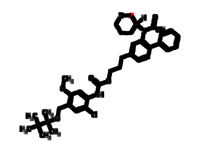 COc1cc(NC(=O)OCCCc2ccc(-c3ccccc3)c(N(C(=O)O)[C@H]3CN4CCC3CC4)c2)c(Cl)cc1CO[Si](C)(C)C(C)(C)C